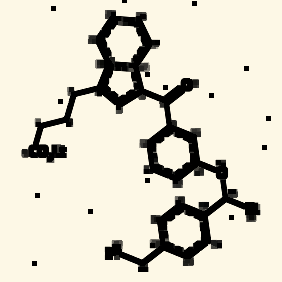 CCOC(=O)CCCc1cc(C(=O)c2cccc(OC(CC)c3ccc(CC(C)C)cc3)c2)c2ccccn12